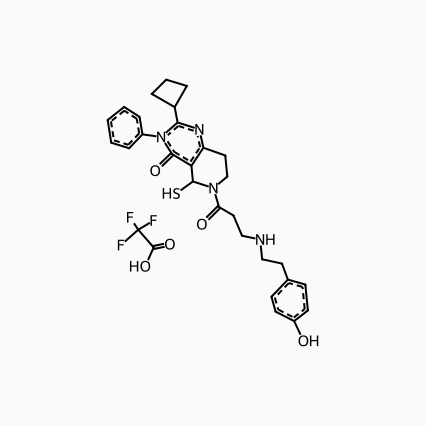 O=C(CCNCCc1ccc(O)cc1)N1CCc2nc(C3CCC3)n(-c3ccccc3)c(=O)c2C1S.O=C(O)C(F)(F)F